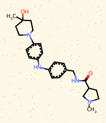 CN1CCC(C(=O)NCc2ccc(Nc3ccc(N4CCC(C)(O)CC4)cc3)cc2)C1